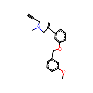 C#CCN(C)CC(=C)c1cccc(OCc2cccc(OC)c2)c1